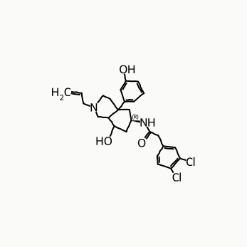 C=CCN1CCC2(c3cccc(O)c3)C[C@@H](NC(=O)Cc3ccc(Cl)c(Cl)c3)CC(O)C2C1